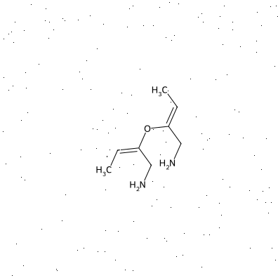 CC=C(CN)OC(=CC)CN